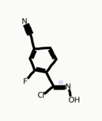 N#Cc1ccc(/C(Cl)=N/O)c(F)c1